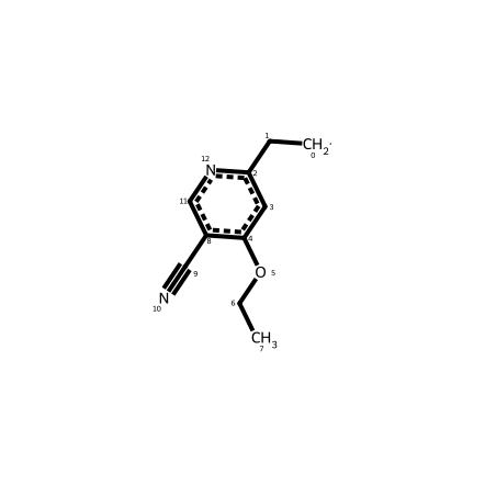 [CH2]Cc1cc(OCC)c(C#N)cn1